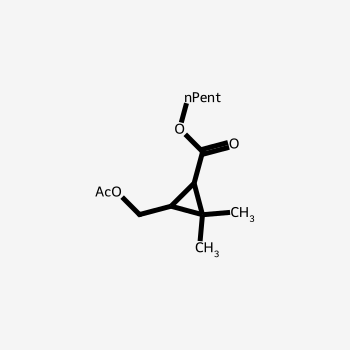 CCCCCOC(=O)C1C(COC(C)=O)C1(C)C